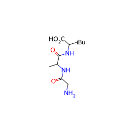 CCC(C)C(NC(=O)C(C)NC(=O)CN)C(=O)O